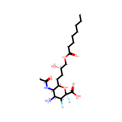 CCCCCCCC(=O)OC[C@@H](O)CCC1O[C@@](F)(C(=O)O)C(F)C(N)C1NC(C)=O